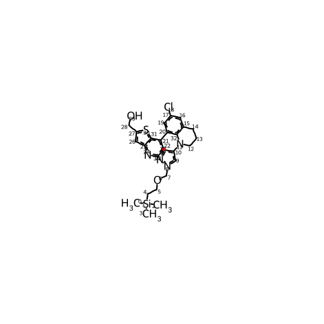 C[Si](C)(C)CCOCn1cc(N2CCCc3cc(Cl)cc(-c4ccnc5cc(CO)sc45)c32)cn1